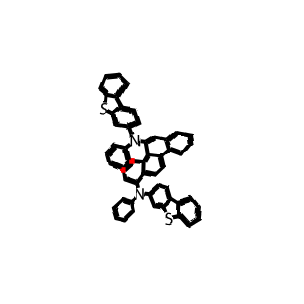 c1ccc(N(c2ccc3c(c2)sc2ccccc23)c2cccc3c2ccc2c4ccccc4cc(N(c4ccccc4)c4ccc5c(c4)sc4ccccc45)c32)cc1